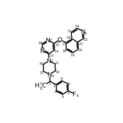 CC(c1ccc(F)cc1)N1CCN(c2cc(Oc3cccc4cnccc34)ncn2)CC1